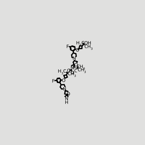 CC(C)(O)C1CC(Oc2ccc(F)cc2C2CCN(C3COC4(C3)CN(C(=O)OC(C)(C)C3CC(Oc5ccc(F)cc5C5CCN([C@@H]6COC7(CNC7)C6)CC5)C3)[C@H]4C(C)(C)C)CC2)C1